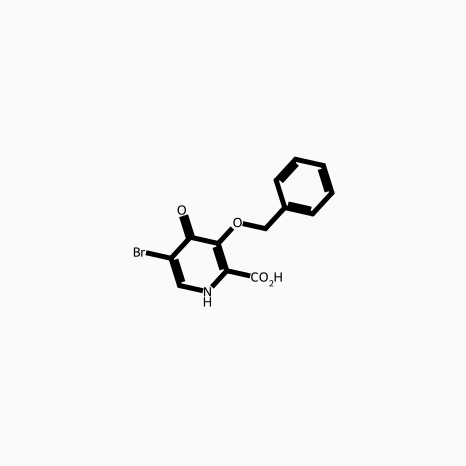 O=C(O)c1[nH]cc(Br)c(=O)c1OCc1ccccc1